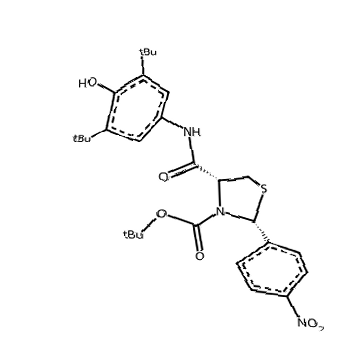 CC(C)(C)OC(=O)N1[C@@H](c2ccc([N+](=O)[O-])cc2)SC[C@H]1C(=O)Nc1cc(C(C)(C)C)c(O)c(C(C)(C)C)c1